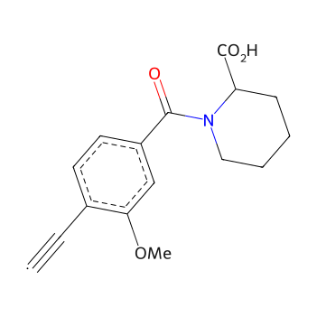 [C]#Cc1ccc(C(=O)N2CCCCC2C(=O)O)cc1OC